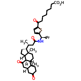 CC(C)[C@@H](NC(=O)C[C@@H](C)[C@H]1CC[C@H]2[C@@H]3C(=O)C[C@@H]4CC(=O)CC[C@]4(C)[C@H]3CC[C@]12C)c1ccc(C(=O)CCCCCCC(=O)O)s1